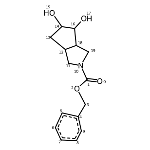 O=C(OCc1ccccc1)N1CC2CC(O)C(O)C2C1